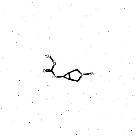 CC(C)(C)OC(=O)NC1C2CN(C(C)(C)C)CC21